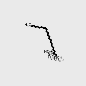 CCCCCCCC/C=C\CCCCCCCCCCCCC(C[N+](C)(C)C)OP(=O)([O-])O